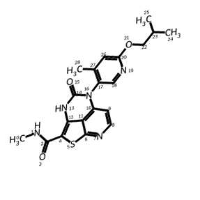 CNC(=O)c1sc2nccc3c2c1NC(=O)N3c1cnc(OCC(C)C)cc1C